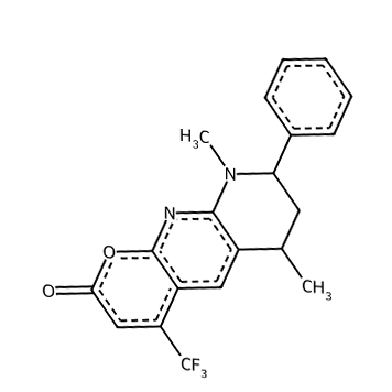 CC1CC(c2ccccc2)N(C)c2nc3oc(=O)cc(C(F)(F)F)c3cc21